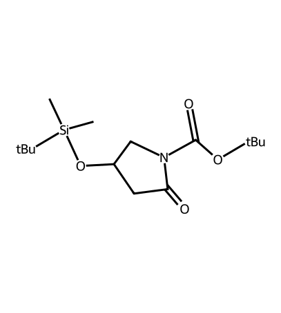 CC(C)(C)OC(=O)N1CC(O[Si](C)(C)C(C)(C)C)CC1=O